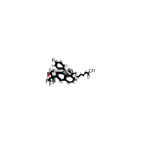 O=C(O)CCCCN1CC[C@]2(S(=O)(=O)c3ccc(F)cc3)c3ccc(C(F)(C(F)(F)F)C(F)(F)F)cc3CC[C@H]12